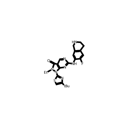 CCn1c(=O)c2cnc(Nc3cc4c(cc3F)CCNC4)nc2n1-c1nc(C(C)(C)C)cs1